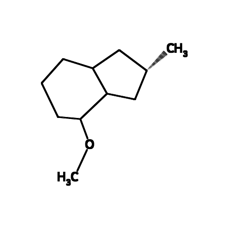 COC1CCCC2C[C@H](C)CC21